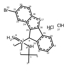 CC(C)(C)[NH][Zr]([CH3])([CH3])(=[SiH2])[CH]1c2ccccc2-c2sc3ccc(Br)cc3c21.Cl.Cl